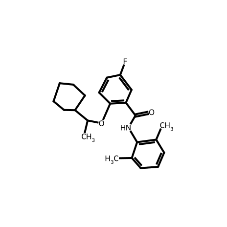 Cc1cccc(C)c1NC(=O)c1cc(F)ccc1OC(C)C1CCCCC1